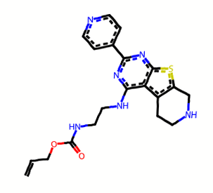 C=CCOC(=O)NCCNc1nc(-c2ccncc2)nc2sc3c(c12)CCNC3